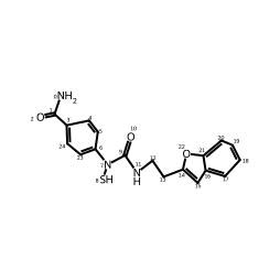 NC(=O)c1ccc(N(S)C(=O)NCCc2cc3ccccc3o2)cc1